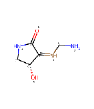 NC/[SH]=C1\C(=O)NC[C@H]1O